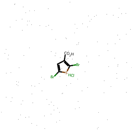 Cl.O=C(O)c1cc(Br)sc1Br